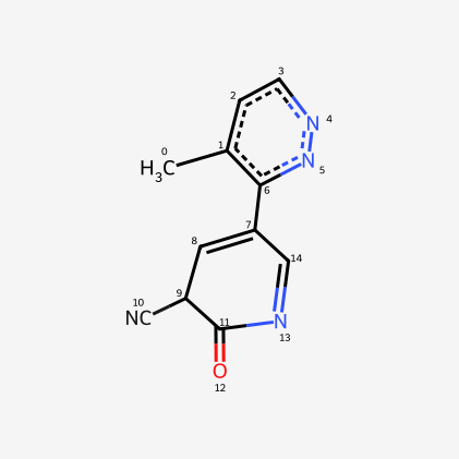 Cc1ccnnc1C1=CC(C#N)C(=O)N=C1